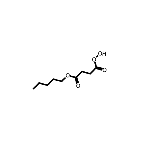 CCCCCOC(=O)CCC(=O)OO